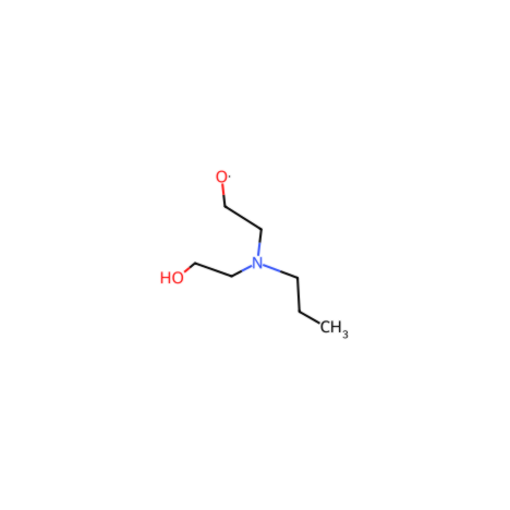 CCCN(CC[O])CCO